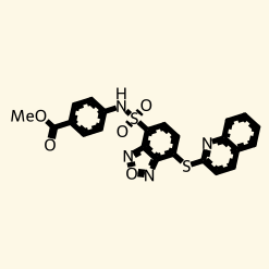 COC(=O)c1ccc(NS(=O)(=O)c2ccc(Sc3ccc4ccccc4n3)c3nonc23)cc1